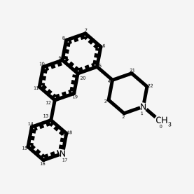 CN1CCC(c2cccc3ccc(-c4cccnc4)cc23)CC1